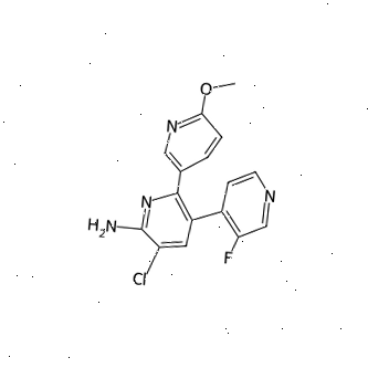 COc1ccc(-c2nc(N)c(Cl)cc2-c2ccncc2F)cn1